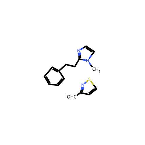 Cn1ccnc1CCc1ccccc1.O=Cc1ccsn1